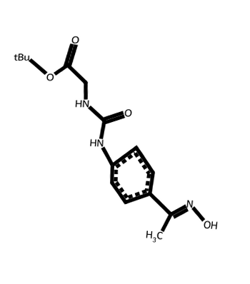 CC(=NO)c1ccc(NC(=O)NCC(=O)OC(C)(C)C)cc1